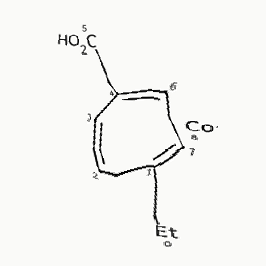 CCc1ccc(C(=O)O)cc1.[Co]